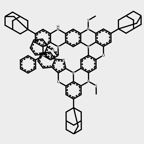 CSN1c2cc3c(cc2B2c4cc5c(cc4Oc4cc(C67CC8CC(CC(C8)C6)C7)cc1c42)N(SC)c1cc(C24CC6CC(CC(C6)C2)C4)cc2c1B5c1sc4ccccc4c1O2)B1c2sc4ccccc4c2N(c2ccccc2)c2cc(C45CC6CC(CC(C6)C4)C5)cc(c21)N3